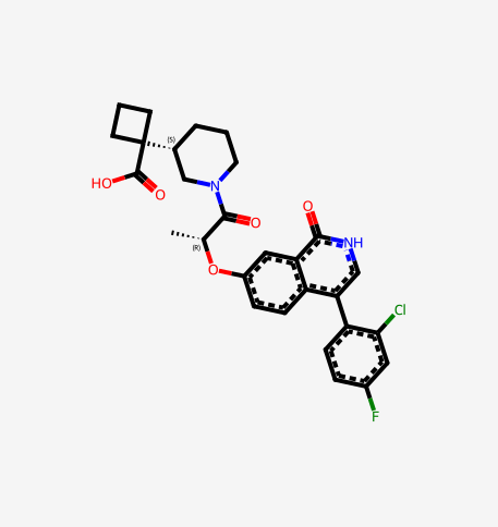 C[C@@H](Oc1ccc2c(-c3ccc(F)cc3Cl)c[nH]c(=O)c2c1)C(=O)N1CCC[C@@H](C2(C(=O)O)CCC2)C1